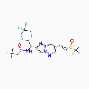 CC(C)(C)CC(=O)N[C@H](c1cn2ncc(/C=N/[S+]([O-])C(C)(C)C)cc2n1)C1CCC(F)(F)CC1